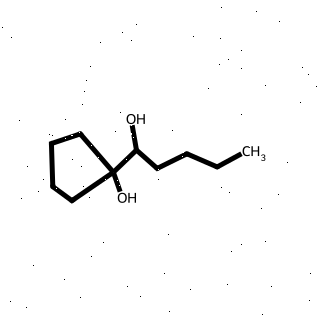 CCCCC(O)C1(O)CCCC1